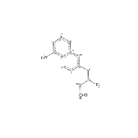 CCC(Cc1ccc2c(O)cncc2c1)OC=O